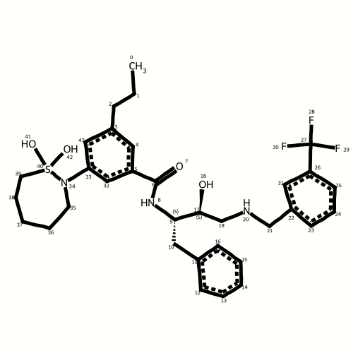 CCCc1cc(C(=O)N[C@@H](Cc2ccccc2)[C@@H](O)CNCc2cccc(C(F)(F)F)c2)cc(N2CCCCCS2(O)O)c1